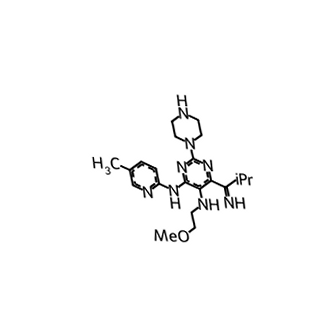 COCCNc1c(Nc2ccc(C)cn2)nc(N2CCNCC2)nc1C(=N)C(C)C